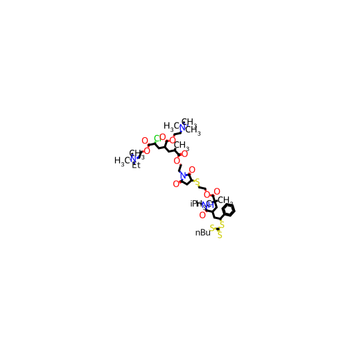 CCCCSC(=S)SC(CC(CC(C)(C)C(=O)OCCSC1CC(=O)N(CCOC(=O)C(C)CC(CC(Cl)C(=O)OCC[N+](C)(C)CC)C(=O)OCC[N+](C)(C)C)C1=O)C(=O)NC(C)C)c1ccccc1